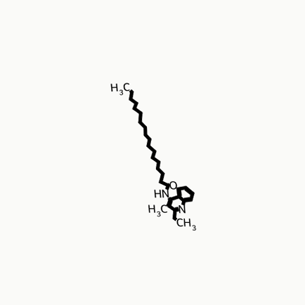 CCCCCCCCCCCCCCCCCC(=O)Nc1c(C)c(CC)nc2ccccc12